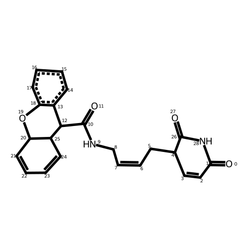 O=C1C=CC(C/C=C\CNC(=O)C2c3ccccc3OC3C=CC=CC32)C(=O)N1